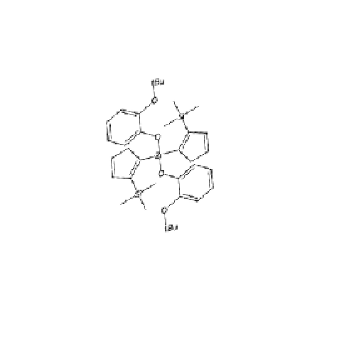 CC(C)(C)Oc1ccccc1[O][Zr]([O]c1ccccc1OC(C)(C)C)([C]1=C([Si](C)(C)C)C=CC1)[C]1=C([Si](C)(C)C)C=CC1